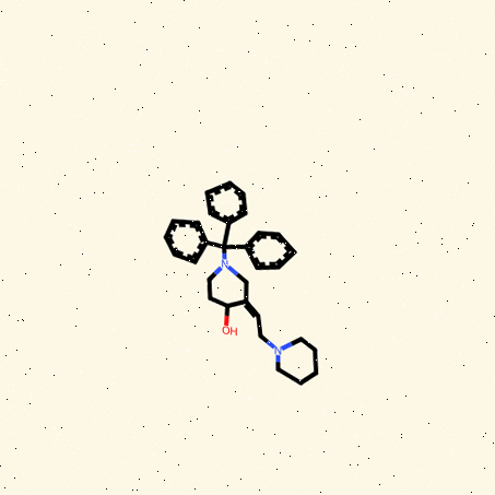 OC1CCN(C(c2ccccc2)(c2ccccc2)c2ccccc2)C/C1=C/CN1CCCCC1